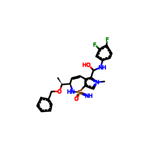 C[C@@H](OCc1ccccc1)[C@H]1C=Cc2c(cn(C)c2C(O)Nc2ccc(F)c(F)c2)S(=N)(=O)N1